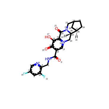 O=C(NCc1ncc(F)cc1F)c1cn2c(c(O)c1=O)C(=O)N1CC3CC[C@H](C3)[C@@H]1C2